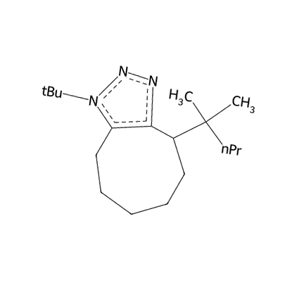 CCCC(C)(C)C1CCCCCc2c1nnn2C(C)(C)C